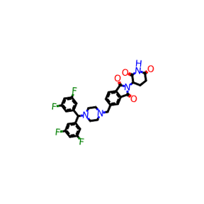 O=C1CCC(N2C(=O)c3ccc(CN4CCN(C(c5cc(F)cc(F)c5)c5cc(F)cc(F)c5)CC4)cc3C2=O)C(=O)N1